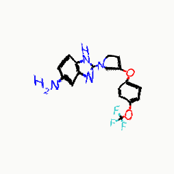 Nc1ccc2[nH]c(N3CCC(Oc4ccc(OC(F)(F)F)cc4)C3)nc2c1